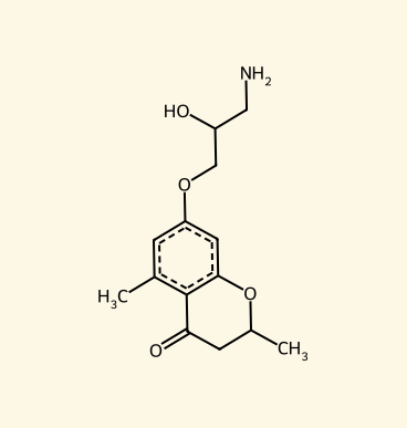 Cc1cc(OCC(O)CN)cc2c1C(=O)CC(C)O2